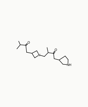 CC(C)C(=O)CC1CN(CC(C)C(=O)CC2CCNC2)C1